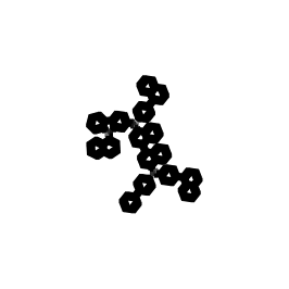 c1ccc(-c2ccc(N(c3ccc(-c4cccc5ccccc45)cc3)c3ccc(-c4ccc(N(c5ccc(-c6cccc7ccccc67)cc5)c5ccc6c7ccccc7n(-c7cccc8ccccc78)c6c5)c5ccccc45)c4ccccc34)cc2)cc1